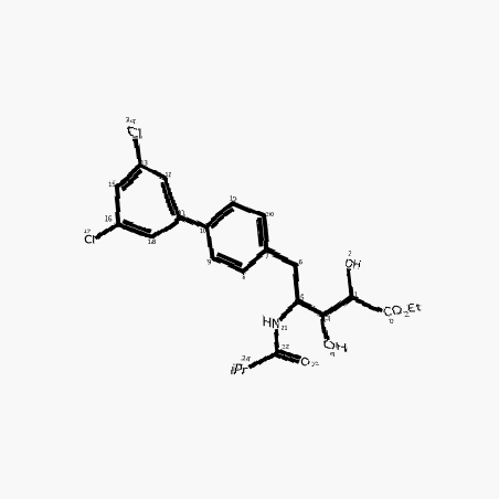 CCOC(=O)C(O)C(O)C(Cc1ccc(-c2cc(Cl)cc(Cl)c2)cc1)NC(=O)C(C)C